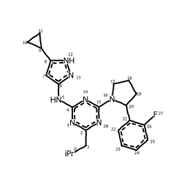 CC(C)Cc1nc(Nc2cc(C3CC3)[nH]n2)nc(N2CCCC2c2ccccc2F)n1